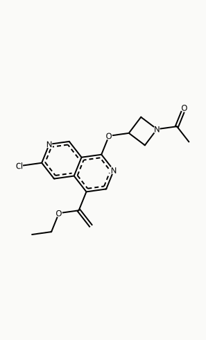 C=C(OCC)c1cnc(OC2CN(C(C)=O)C2)c2cnc(Cl)cc12